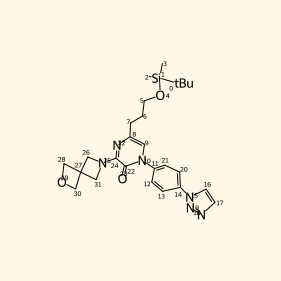 CC(C)(C)[Si](C)(C)OCCCc1cn(-c2ccc(-n3ccnn3)cc2)c(=O)c(N2CC3(COC3)C2)n1